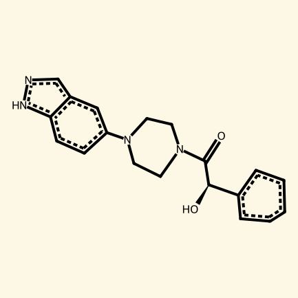 O=C([C@H](O)c1ccccc1)N1CCN(c2ccc3[nH]ncc3c2)CC1